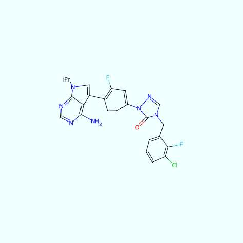 CC(C)n1cc(-c2ccc(-n3ncn(Cc4cccc(Cl)c4F)c3=O)cc2F)c2c(N)ncnc21